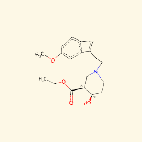 CCOC(=O)[C@H]1CN(CC2=Cc3ccc(OC)cc32)CC[C@H]1O